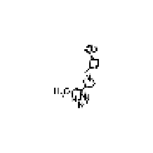 Cc1cc(C2CCCN(Cc3cccc(-c4ccco4)c3)C2)n2ncnc2n1